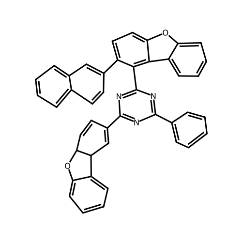 C1=CC2Oc3ccccc3C2C=C1c1nc(-c2ccccc2)nc(-c2c(-c3ccc4ccccc4c3)ccc3oc4ccccc4c23)n1